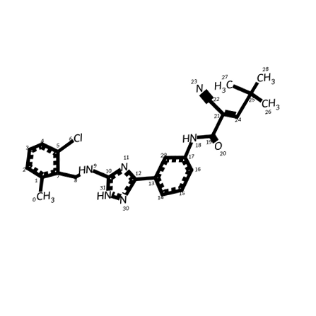 Cc1cccc(Cl)c1CNc1nc(-c2cccc(NC(=O)/C(C#N)=C/C(C)(C)C)c2)n[nH]1